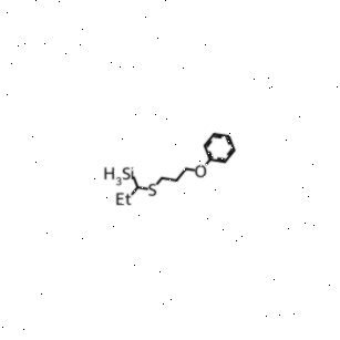 CCC([SiH3])SCCCOc1ccccc1